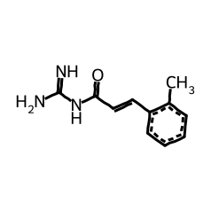 Cc1ccccc1C=CC(=O)NC(=N)N